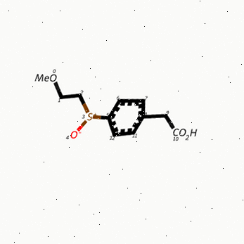 COCC[S+]([O-])c1ccc(CC(=O)O)cc1